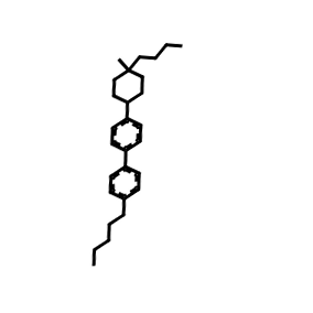 CCCCCc1ccc(-c2ccc(C3CCC(C)(CCCC)CC3)cc2)cc1